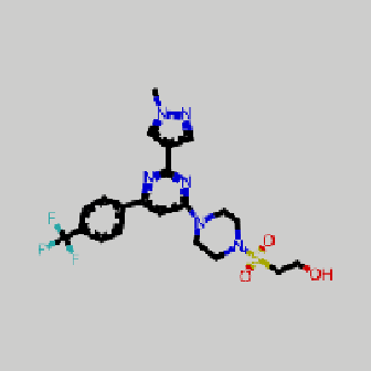 Cn1cc(-c2nc(-c3ccc(C(F)(F)F)cc3)cc(N3CCN(S(=O)(=O)CCO)CC3)n2)cn1